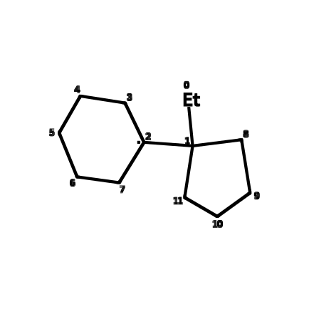 CCC1([C]2CCCCC2)CCCC1